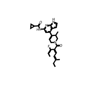 C\C=C(F)/C(=C\C=C(/C)CC)C(=O)N1CC=C(c2cc(NC(=O)C3CC3)nc3[nH]ccc23)C(C)C1